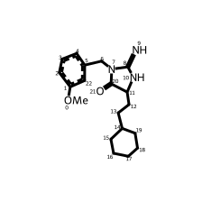 COc1cccc(CN2C(=N)NC(CCC3CCCCC3)C2=O)c1